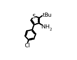 CC(C)(C)c1scc(-c2ccc(Cl)cc2)c1N